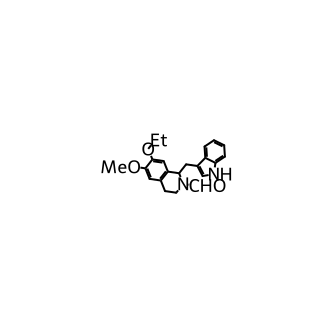 CCOc1cc2c(cc1OC)CCN(C=O)C2Cc1c[nH]c2ccccc12